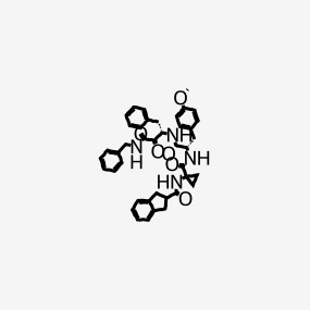 COc1ccc(C[C@H](NC(=O)C2(NC(=O)C3Cc4ccccc4C3)CC2)C(=O)N[C@@H](Cc2ccccc2)C(=O)C(=O)NCc2ccccc2)cc1